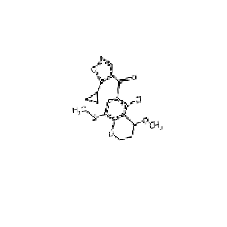 COC1CCOc2c(SC)cc(C(=O)c3cnoc3C3CC3)c(Cl)c21